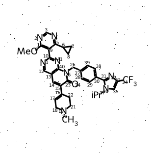 COc1ncnc(C2CC2)c1-c1ncc2cc(C3=CCN(C)CC3)c(=O)n(Cc3ccc(-c4nc(C(F)(F)F)cn4C(C)C)cc3)c2n1